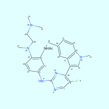 CC(=O)Nc1cc(Nc2ncc(F)c(-c3cn(C)c4ccc(C)cc34)n2)ccc1N(C)CCN(C)C